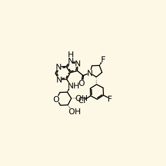 O=C(c1n[nH]c2ncnc(N[C@@H]3COC[C@@H](O)[C@H]3O)c12)N1C[C@@H](F)C[C@@H]1C1C=C(Cl)C=C(F)C1